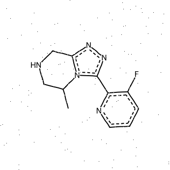 CC1CNCc2nnc(-c3ncccc3F)n21